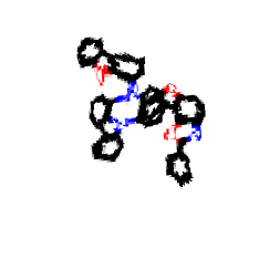 c1ccc(-c2nc3ccc4oc5cc(N(c6cccc7c6oc6ccccc67)c6cccc7c8ccccc8n(-c8ccccc8)c67)ccc5c4c3o2)cc1